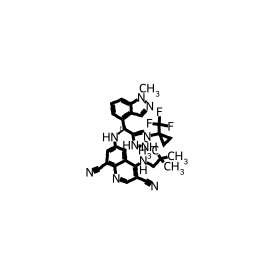 Cn1ncc2c([C@H](Nc3cc(C#N)c4ncc(C#N)c(NCC(C)(C)C)c4c3)C3=CN(C4(C(F)(F)F)CC4)NN3)cccc21